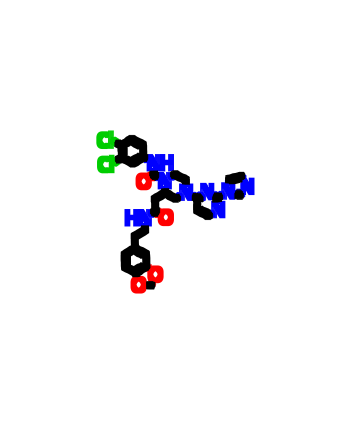 O=C(CC1CN(c2ccnc(-n3ccnc3)n2)CCN1C(=O)Nc1ccc(Cl)c(Cl)c1)NCCc1ccc2c(c1)OCO2